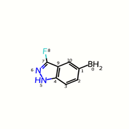 Bc1ccc2[nH]nc(F)c2c1